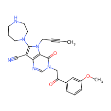 CC#CCn1c(N2CCCNCC2)c(C#N)c2ncn(CC(=O)c3cccc(OC)c3)c(=O)c21